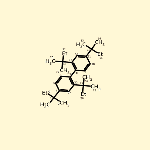 CCC(C)(C)c1ccc(-c2ccc(C(C)(C)CC)cc2C(C)(C)CC)c(C(C)(C)CC)c1